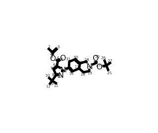 C=C(C)OC(=O)c1cc(C(C)(C)C)nn1C1=CC2CCN(C(=O)OC(C)(C)C)CC2=CC1